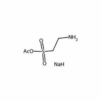 CC(=O)OS(=O)(=O)CCN.[NaH]